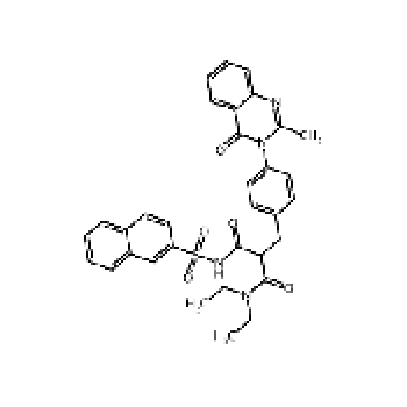 CCN(CC)C(=O)C(Cc1ccc(-n2c(C)nc3ccccc3c2=O)cc1)C(=O)NS(=O)(=O)c1ccc2ccccc2c1